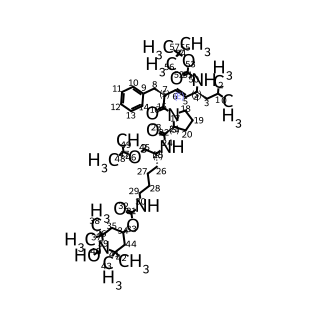 CC(C)C[C@@H](/C=C/[C@H](Cc1ccccc1)C(=O)N1CCC[C@H]1C(=O)N[C@H](CCCCNC(=O)OC1CC(C)(C)N(O)C(C)(C)C1)COC(C)C)NC(=O)OC(C)(C)C